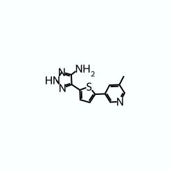 Cc1cncc(-c2ccc(-c3n[nH]nc3N)s2)c1